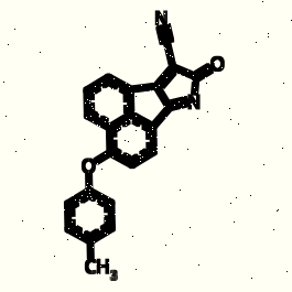 Cc1ccc(Oc2ccc3c4c(cccc24)C2=C(C#N)C(=O)N=C23)cc1